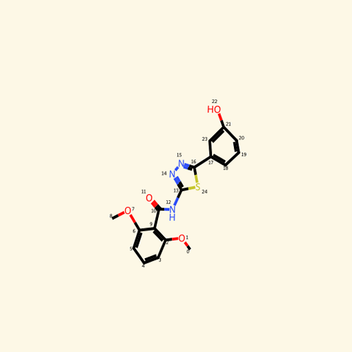 COc1cccc(OC)c1C(=O)Nc1nnc(-c2cccc(O)c2)s1